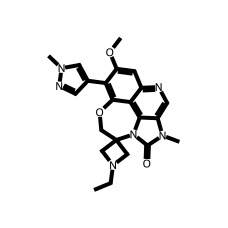 CCN1CC2(COc3c(-c4cnn(C)c4)c(OC)cc4ncc5c(c34)n2c(=O)n5C)C1